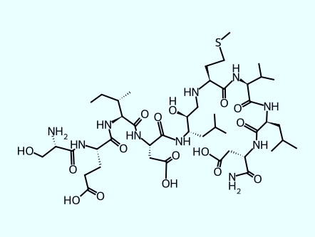 CC[C@H](C)[C@H](NC(=O)[C@H](CCC(=O)O)NC(=O)[C@@H](N)CO)C(=O)N[C@@H](CC(=O)O)C(=O)N[C@@H](CC(C)C)[C@@H](O)CN[C@@H](CCSC)C(=O)N[C@H](C(=O)N[C@@H](CC(C)C)C(=O)N[C@@H](CC(=O)O)C(N)=O)C(C)C